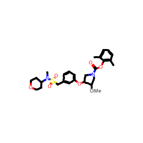 COC1CN(C(=O)Oc2c(C)cccc2C)CC1Oc1cccc(CS(=O)(=O)N(C)C2CCOCC2)c1